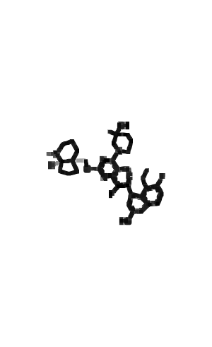 CCc1c(F)ccc2cc(O)cc(-c3ccc4c(N5CCCC(C)(O)C5)nc(OC[C@]56CCC[C@H]5N(C)CCC6)nc4c3F)c12